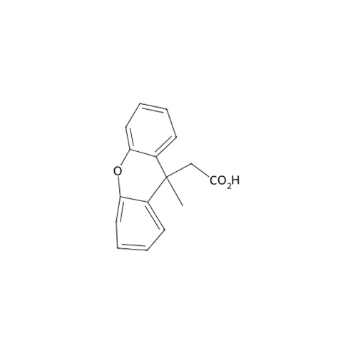 CC1(CC(=O)O)c2ccccc2Oc2ccccc21